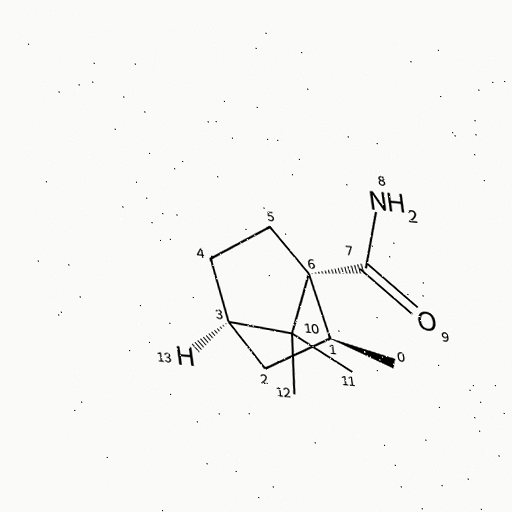 C[C@H]1C[C@H]2CC[C@]1(C(N)=O)C2(C)C